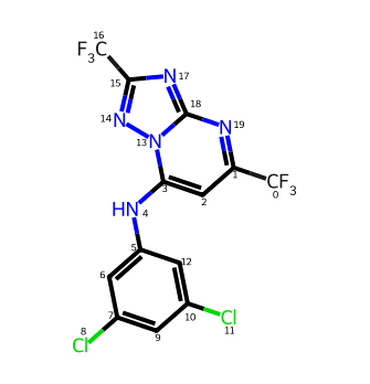 FC(F)(F)c1cc(Nc2cc(Cl)cc(Cl)c2)n2nc(C(F)(F)F)nc2n1